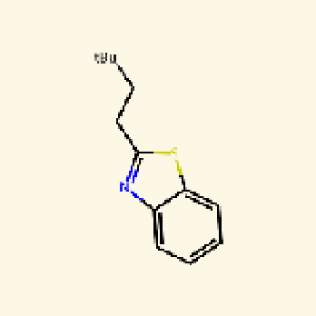 CC(C)(C)CCc1nc2ccccc2s1